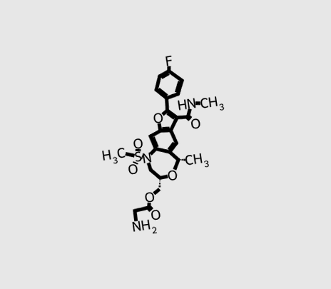 CNC(=O)c1c(-c2ccc(F)cc2)oc2cc3c(cc12)[C@H](C)O[C@H](COC(=O)CN)CN3S(C)(=O)=O